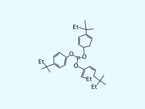 CC/C=C(\C=C/CC(C)(C)CC)OP(Oc1ccc(C(C)(C)CC)cc1)OC1C=CC(C(C)(C)CC)=CC1